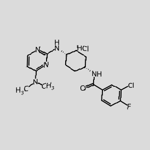 CN(C)c1ccnc(N[C@H]2CC[C@@H](NC(=O)c3ccc(F)c(Cl)c3)CC2)n1.Cl